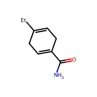 CCC1=CCC(C(N)=O)=CC1